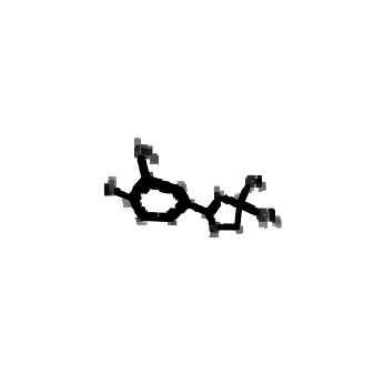 Cc1cc(C2=NC(C)(C)CO2)ccc1Br